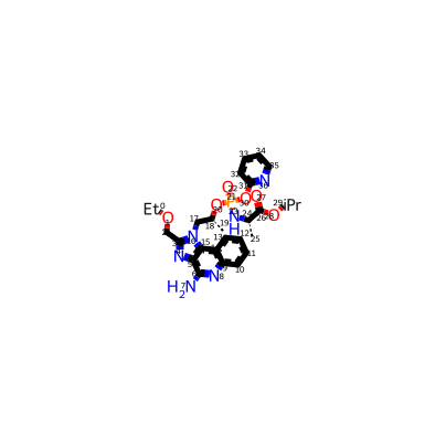 CCOCc1nc2c(N)nc3ccccc3c2n1C[C@@H](C)OP(=O)(N[C@@H](C)C(=O)OC(C)C)Oc1ccccn1